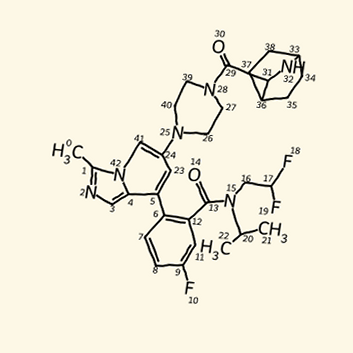 Cc1ncc2c(-c3ccc(F)cc3C(=O)N(CC(F)F)C(C)C)cc(N3CCN(C(=O)C4NC5CCC4CC5)CC3)cn12